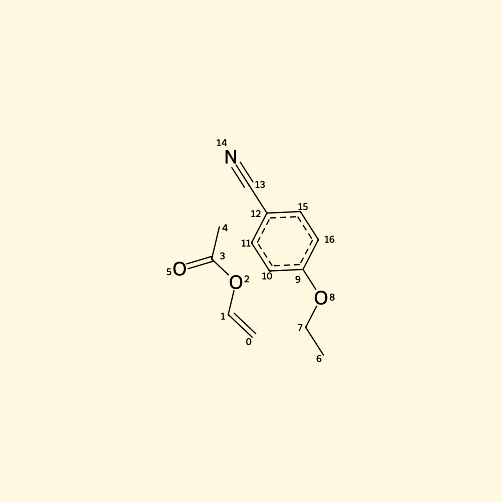 C=COC(C)=O.CCOc1ccc(C#N)cc1